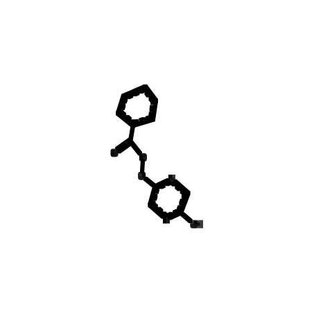 O=C(OOc1cnc(O)cn1)c1ccccc1